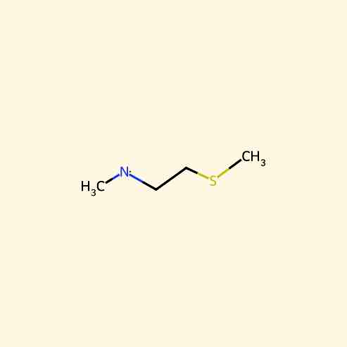 C[N]CCSC